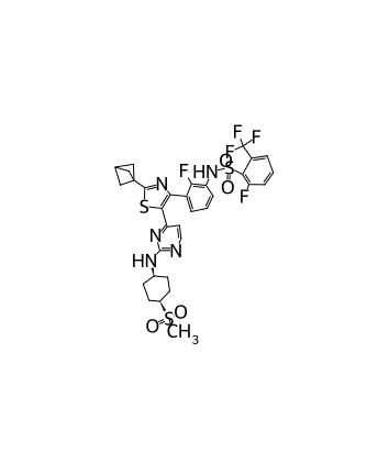 CS(=O)(=O)[C@H]1CC[C@@H](Nc2nccc(-c3sc(C45CC(C4)C5)nc3-c3cccc(NS(=O)(=O)c4c(F)cccc4C(F)(F)F)c3F)n2)CC1